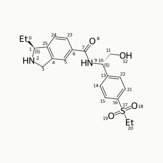 CC[C@@H]1NCc2cc(C(=O)N[C@H](CO)c3ccc(S(=O)(=O)CC)cc3)ccc21